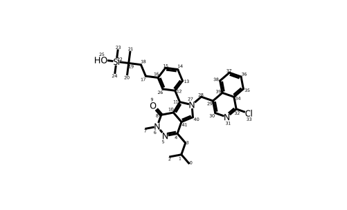 CC(C)Cc1nn(C)c(=O)c2c(-c3cccc(CCC(C)(C)[Si](C)(C)O)c3)n(Cc3cnc(Cl)c4ccccc34)cc12